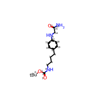 CC(C)(C)OC(=O)NCCCCc1ccc(NCC(N)=O)cc1